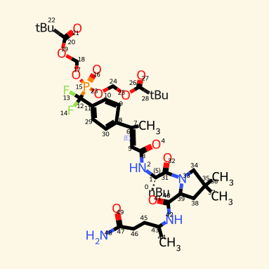 CCCC[C@H](NC(=O)/C=C(\C)c1ccc(C(F)(F)P(=O)(OCOC(=O)C(C)(C)C)OCOC(=O)C(C)(C)C)cc1)C(=O)N1CC(C)(C)CC1C(=O)NC(C)CCC(N)=O